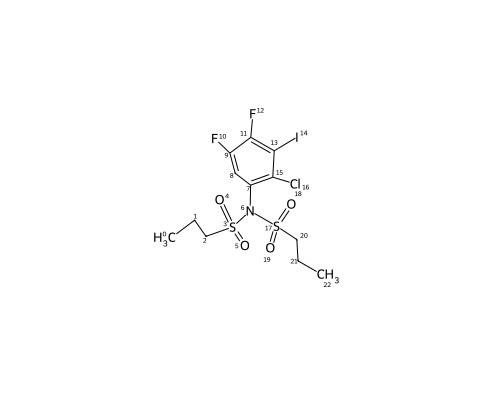 CCCS(=O)(=O)N(c1cc(F)c(F)c(I)c1Cl)S(=O)(=O)CCC